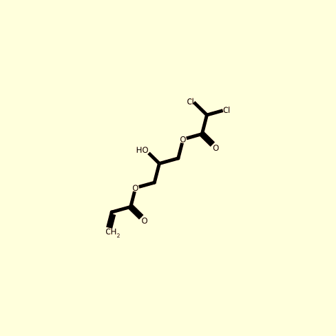 C=CC(=O)OCC(O)COC(=O)C(Cl)Cl